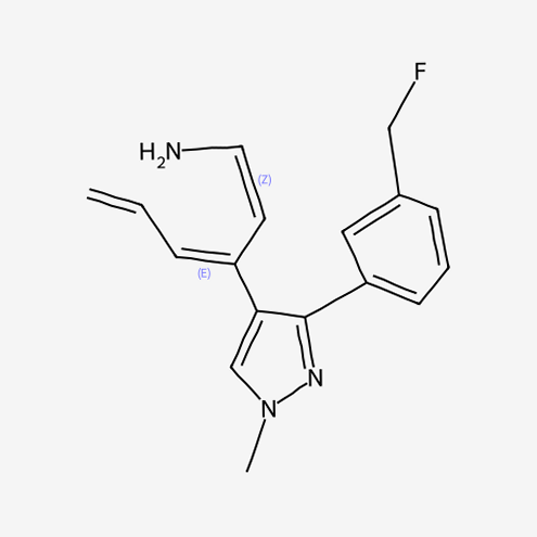 C=C/C=C(\C=C/N)c1cn(C)nc1-c1cccc(CF)c1